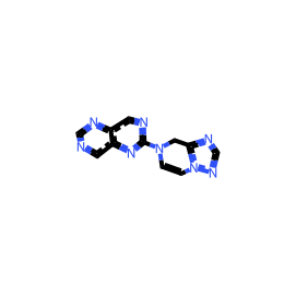 C1=Cn2ncnc2CN1c1ncc2ncncc2n1